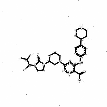 NC(=O)c1nnc(N2CCCC(N3CCN(C(F)C(F)F)C3=O)C2)nc1Nc1ccc(C2CCNCC2)cc1